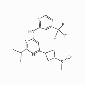 CC(C)c1nc(Nc2cc(C(F)(F)F)ccn2)cc(C2CN([S+](C)[O-])C2)n1